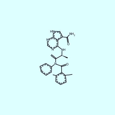 C=C([C@H](C)Nc1ncnc2[nH]cc(C(N)=O)c12)N(C(=O)c1c(C)cccc1C)c1ccccc1